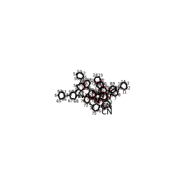 N#Cc1ccc(-n2c3ccc(-c4ccccc4)cc3c3cc(-c4ccccc4)ccc32)c(-c2nc(-c3ccccc3)nc(-c3cc(-n4c5ccc(-c6ccccc6)cc5c5cc(-c6ccccc6)ccc54)ccc3-c3cccc(C#N)c3-n3c4ccc(-c5ccccc5)cc4c4cc(-c5ccccc5)ccc43)n2)c1